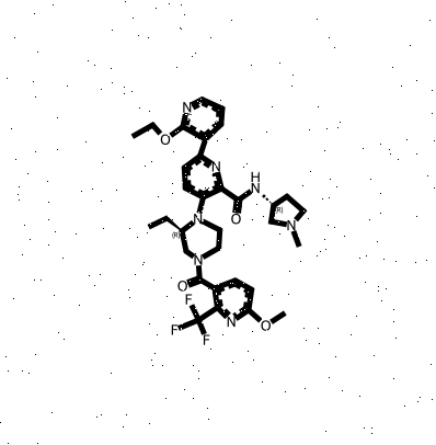 CCOc1ncccc1-c1ccc(N2CCN(C(=O)c3ccc(OC)nc3C(F)(F)F)C[C@H]2CC)c(C(=O)N[C@@H]2CCN(C)C2)n1